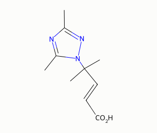 Cc1nc(C)n(C(C)(C)C=CC(=O)O)n1